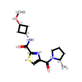 C[C@H]1CCCN1C(=O)c1csc(C(=O)N[C@H]2C[C@H](OC=O)C2)n1